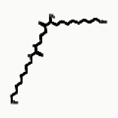 CCCCCCCCCCCCCCCCCCNC(=O)NCCCC(=O)N(C)CCCCCCCCCCCCCCCCCC